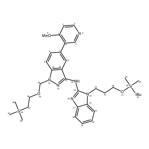 COc1ccncc1-c1ccc2c(c1)c(Nc1nc3ccccc3n1CCCO[Si](C)(C)C(C)(C)C)nn2COCC[Si](C)(C)C